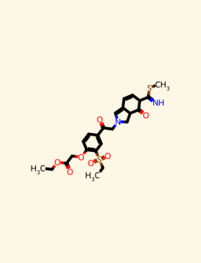 CCOC(=O)COc1ccc(C(=O)CN2C=C3C=CC(C(=N)SC)C(=O)C3C2)cc1S(=O)(=O)CC